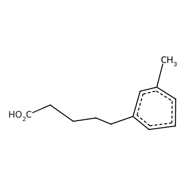 Cc1cccc(CCCCC(=O)O)c1